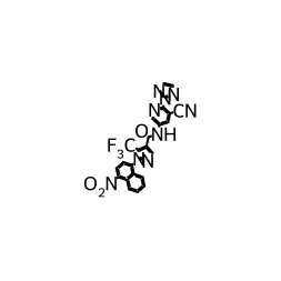 N#Cc1cc(NC(=O)c2cnn(-c3ccc([N+](=O)[O-])c4ccccc34)c2C(F)(F)F)cnc1-n1nccn1